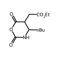 CCCCC1NC(=O)OC(=O)C1CC(=O)OCC